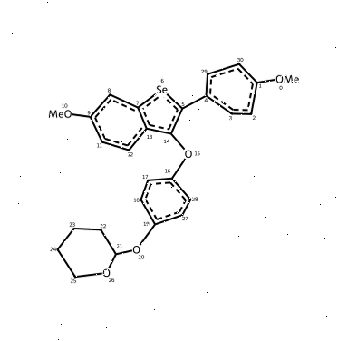 COc1ccc(-c2[se]c3cc(OC)ccc3c2Oc2ccc(OC3CCCCO3)cc2)cc1